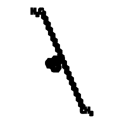 C1=Cc2cccc3cccc(c23)C1.CCCCCCCCCCCCCCCCCCNCCCCCCCCCCCCCCCCCC